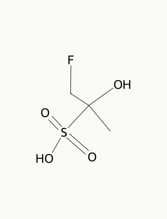 CC(O)(CF)S(=O)(=O)O